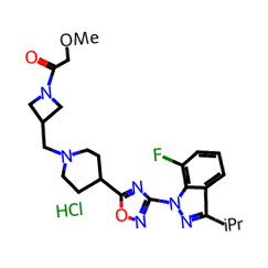 COCC(=O)N1CC(CN2CCC(c3nc(-n4nc(C(C)C)c5cccc(F)c54)no3)CC2)C1.Cl